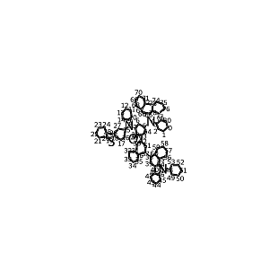 c1ccc(N(c2cc(N(c3ccccc3)c3ccc4sc5ccccc5c4c3)c3oc4c5ccccc5c(-c5cc6c7ccccc7n(-c7ccccc7)c6c6ccccc56)cc4c3c2)c2cc3ccccc3c3ccccc23)cc1